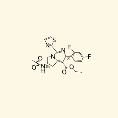 CCOC(=O)C1=C2C[C@H](NS(C)(=O)=O)CN2C(c2nccs2)=N[C@H]1c1ccc(F)cc1F